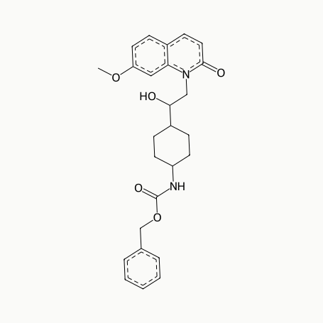 COc1ccc2ccc(=O)n(CC(O)C3CCC(NC(=O)OCc4ccccc4)CC3)c2c1